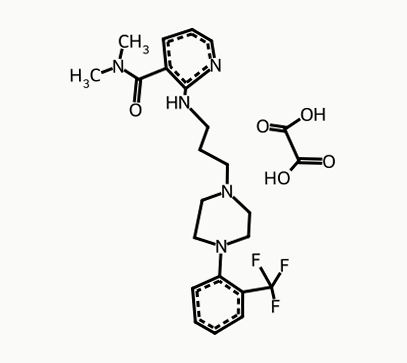 CN(C)C(=O)c1cccnc1NCCCN1CCN(c2ccccc2C(F)(F)F)CC1.O=C(O)C(=O)O